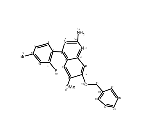 COc1cc2c(-c3ccc(Br)cc3F)nc(N)nc2cc1OCc1ccccc1